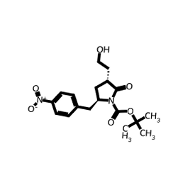 CC(C)(C)OC(=O)N1C(=O)[C@@H](CCO)C[C@@H]1Cc1ccc([N+](=O)[O-])cc1